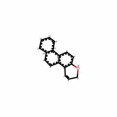 C1=Cc2c(ccc3c2ccc2ccccc23)OC1